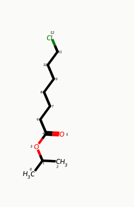 CC(C)OC(=O)CCCCCCCl